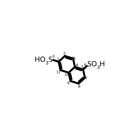 O=S(=O)(O)c1c[c]c2c(S(=O)(=O)O)cccc2c1